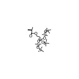 C=C(C)C(=O)OCC[Si](O[Si](C)(C)C)(O[Si](C)(C)O[Si](C)(C)C)O[Si](C)(C)O[Si](C)(C)C